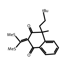 CSC(SC)=C1C(=O)c2ccccc2C(C)(CCC(C)(C)C)C1=O